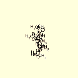 CC(C)C1=C2[C@H]3CC[C@@H]4[C@@]5(C)CC[C@H](OC(=O)CC(C)(C)C(=O)O)C(C)(C)[C@H]5CC[C@@]4(C)[C@]3(C)CC[C@@]2([C@@H](O)CN(CCN(C)C)C(=O)C2CCCCC2)CC1=O